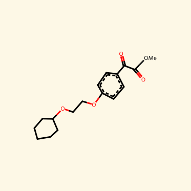 COC(=O)C(=O)c1ccc(OCCOC2CCCCC2)cc1